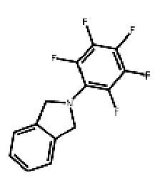 Fc1c(F)c(F)c(N2Cc3ccccc3C2)c(F)c1F